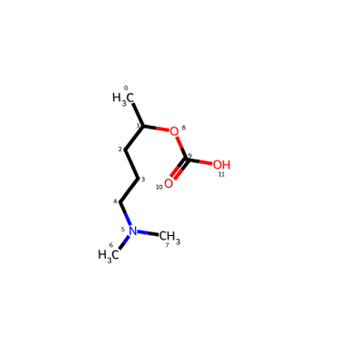 CC(CCCN(C)C)OC(=O)O